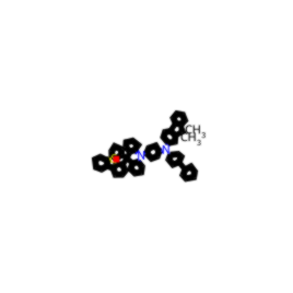 CC1(C)c2ccccc2-c2ccc(N(c3ccc(-c4ccccc4)cc3)c3ccc(N4c5ccccc5C(c5ccccc5)(c5cccc6c5sc5ccccc56)c5ccccc54)cc3)cc21